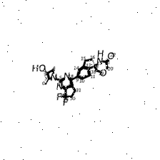 C[C@H]1[C@H](O)CN1c1nc(-c2ccc3c(c2)CC[C@]32COCC(=O)N2)c2c(n1)C(F)(F)CC2